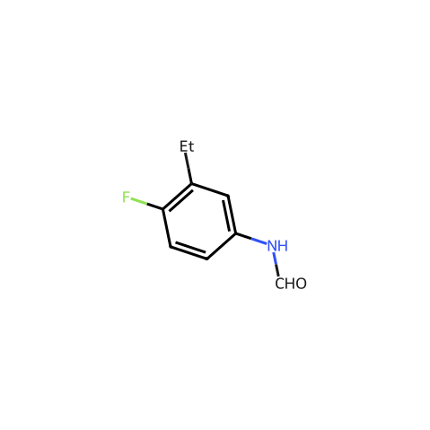 CCc1cc(NC=O)ccc1F